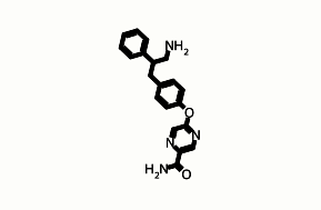 NCC(Cc1ccc(Oc2cnc(C(N)=O)cn2)cc1)c1ccccc1